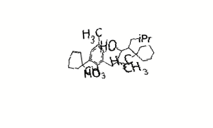 Cc1cc(CC(C)C(O)C(CC(C)C)C2(C)CCCCC2)c(O)c(C2(C)CCCCC2)c1